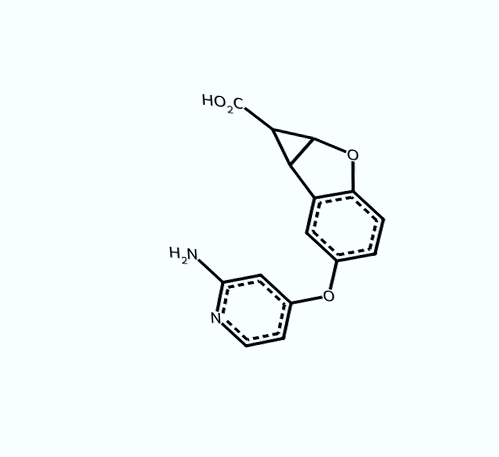 Nc1cc(Oc2ccc3c(c2)C2C(O3)C2C(=O)O)ccn1